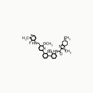 COc1nc(-c2cccc(-c3cccc(NC(=O)c4nc5c(n4C)CCN(C)C5)c3Cl)c2Cl)ccc1CNc1ccnc(C)c1F